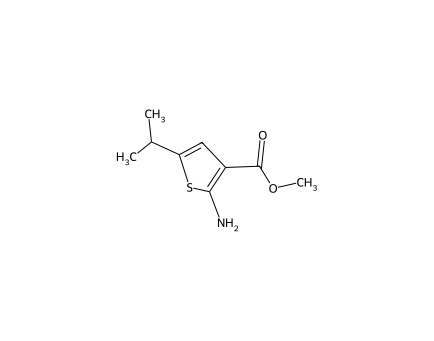 COC(=O)c1cc(C(C)C)sc1N